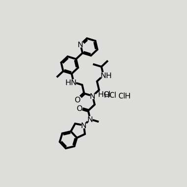 Cc1ccc(-c2ccccn2)cc1NCC(=O)N(CCNC(C)C)CC(=O)N(C)N1Cc2ccccc2C1.Cl.Cl.Cl